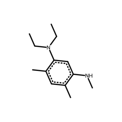 CCN(CC)c1cc(NC)c(C)cc1C